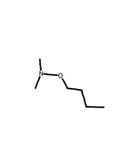 CCCCON(C)C